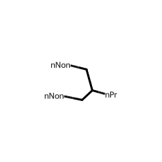 [CH2]CCC(CCCCCCCCCC)CCCCCCCCCC